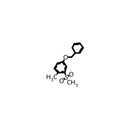 Cc1ccc(OCC2C=CC=CC2)cc1S(C)(=O)=O